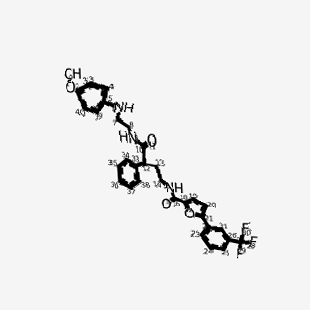 COc1ccc(NCCNC(=O)[C@@H](CCNC(=O)c2ccc(-c3cccc(C(F)(F)F)c3)o2)c2ccccc2)cc1